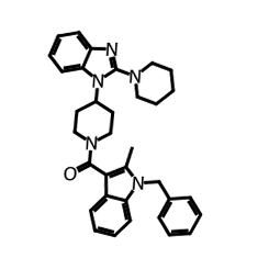 Cc1c(C(=O)N2CCC(n3c(N4CCCCC4)nc4ccccc43)CC2)c2ccccc2n1Cc1ccccc1